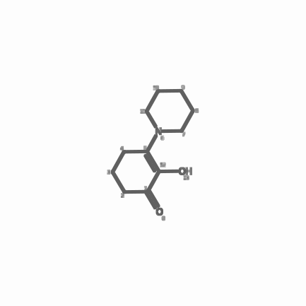 O=C1CCCC(N2CCCCC2)=C1O